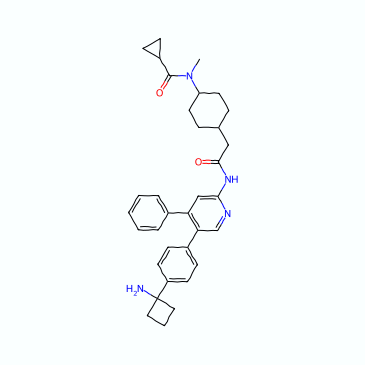 CN(C(=O)C1CC1)C1CCC(CC(=O)Nc2cc(-c3ccccc3)c(-c3ccc(C4(N)CCC4)cc3)cn2)CC1